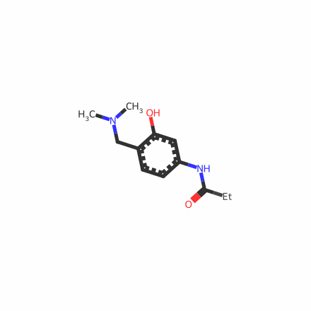 CCC(=O)Nc1ccc(CN(C)C)c(O)c1